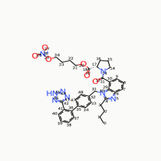 CCCCc1nc2cccc(C(=O)N3CCC[C@H]3C(=O)OCCCCO[N+](=O)[O-])c2n1Cc1ccc(-c2ccccc2-c2nn[nH]n2)cc1